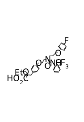 CCOC(Cc1ccc(OCCN(CCCOc2ccc(F)cc2)C(=O)Nc2ccccc2C(F)(F)F)cc1)C(=O)O